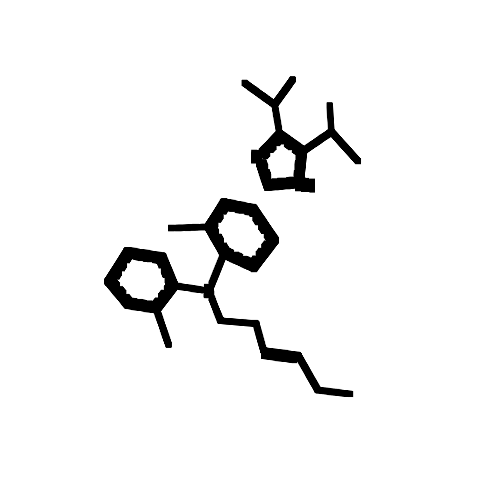 CC(C)c1nc[nH]c1C(C)C.CCC=CCCB(c1ccccc1C)c1ccccc1C